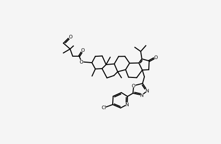 CC(C)C1=C2C3CCC4C(C)(CCC5C(C)C(OC(=O)CC(C)(C)C=O)CCC54C)C3CCC2(Cc2nnc(-c3ccc(Cl)cn3)o2)CC1=O